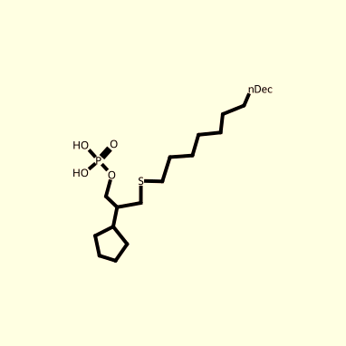 CCCCCCCCCCCCCCCCCSCC(COP(=O)(O)O)C1CCCC1